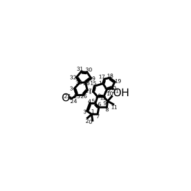 CC1(C)C=CC2=C(C1)CC(C)(C)c1c2ccc2cccc(O)c12.O=Cc1ccc2ccccc2c1